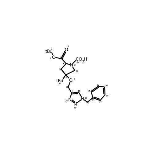 CC(C)(C)OC(=O)C1CC(OCc2cn(Cc3ccccc3)nn2)(C(C)(C)C)CN1C(=O)O